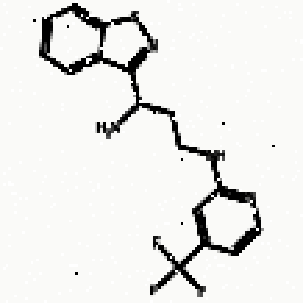 NC(CCNc1cc(C(F)(F)F)ccn1)c1nsc2ccccc12